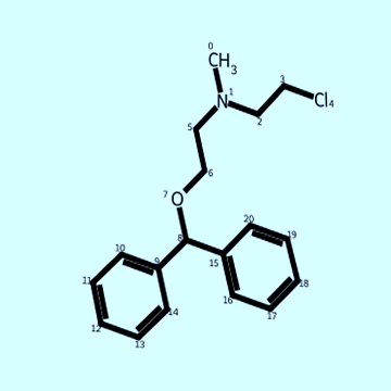 CN(CCCl)CCOC(c1ccccc1)c1ccccc1